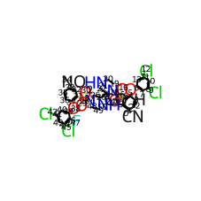 N#Cc1ccc(Oc2cc(Cl)cc(Cl)c2)c(S(=O)(=O)N2CCNCC2(C(=O)O)C2CN(S(=O)(=O)c3cc([N+](=O)[O-])ccc3Oc3cc(Cl)cc(Cl)c3F)CCN2)c1